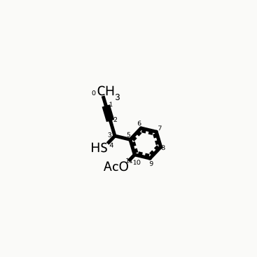 CC#CC(S)c1ccccc1OC(C)=O